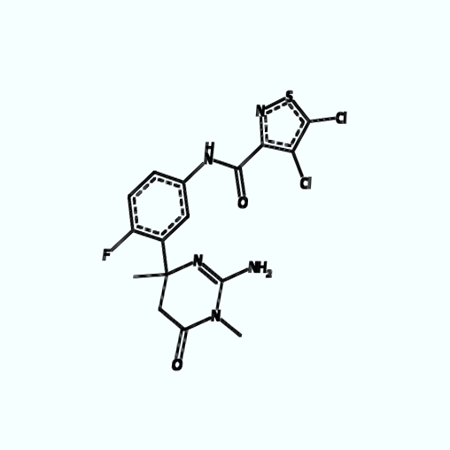 CN1C(=O)CC(C)(c2cc(NC(=O)c3nsc(Cl)c3Cl)ccc2F)N=C1N